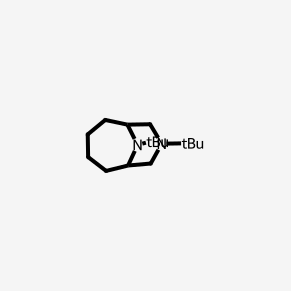 CC(C)(C)N1CC2CCCCC(C1)N2C(C)(C)C